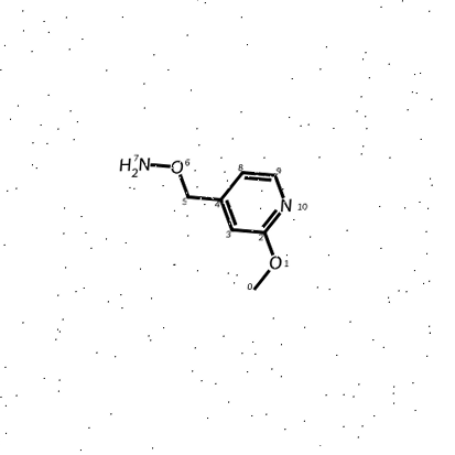 COc1cc(CON)ccn1